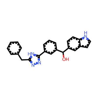 OC(c1cccc(-c2nnc(Cc3ccccc3)[nH]2)c1)c1ccc2[nH]ccc2c1